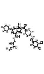 CC(=O)NCCNc1nc(-c2ccccc2)nc2[nH]c(C(=O)N3CCC(COc4ccc(Cl)c(Cl)c4)CC3)cc12